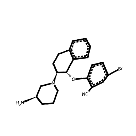 N#Cc1cc(Br)ccc1O[C@H]1c2ccccc2CC[C@@H]1N1CCC[C@@H](N)C1